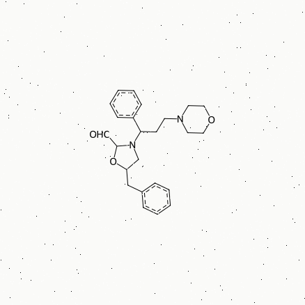 O=CC1OC(Cc2ccccc2)CN1C(CCN1CCOCC1)c1ccccc1